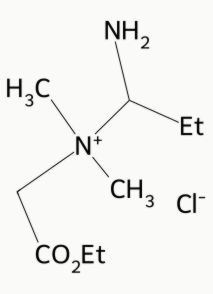 CCOC(=O)C[N+](C)(C)C(N)CC.[Cl-]